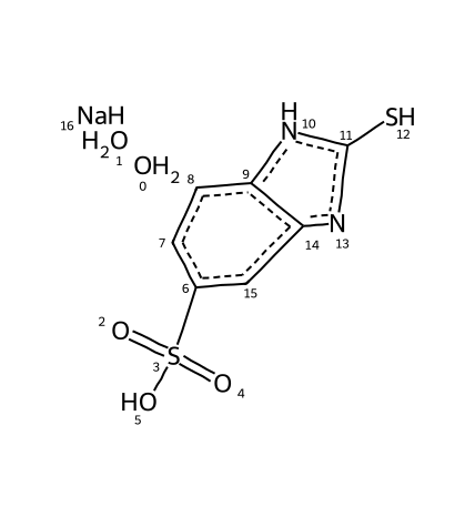 O.O.O=S(=O)(O)c1ccc2[nH]c(S)nc2c1.[NaH]